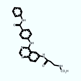 O=C(O)NCCC(=O)Nc1ccc2ncnc(Nc3ccc(C(=O)Nc4ccccc4)cc3)c2c1